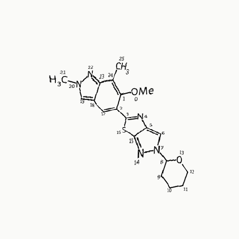 COc1c(-c2nc3cn(C4CCCCO4)nc3s2)cc2cn(C)nc2c1C